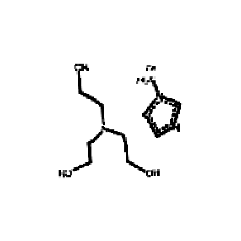 Cn1ccnc1.OCCN(CCO)CCO.[Fe]